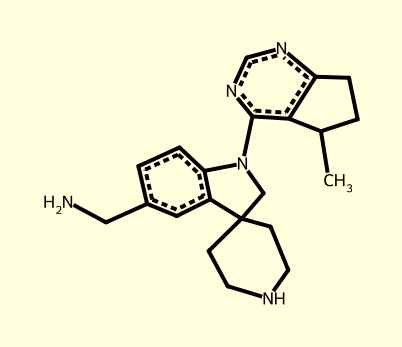 CC1CCc2ncnc(N3CC4(CCNCC4)c4cc(CN)ccc43)c21